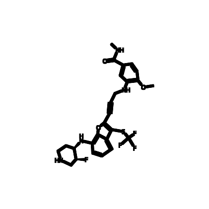 CNC(=O)c1ccc(OC)c(NCC#Cc2oc3c(N[C@@H]4CCNC[C@@H]4F)cccc3c2SC(F)(F)F)c1